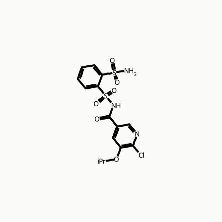 CC(C)Oc1cc(C(=O)NS(=O)(=O)c2ccccc2S(N)(=O)=O)cnc1Cl